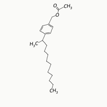 CCCCCCCCCCC(C)c1ccc(COC(C)=O)cc1